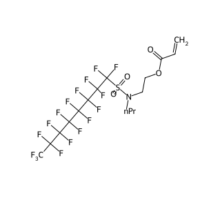 C=CC(=O)OCCN(CCC)S(=O)(=O)C(F)(F)C(F)(F)C(F)(F)C(F)(F)C(F)(F)C(F)(F)C(F)(F)C(F)(F)F